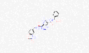 O=C1COc2ccc(CNC(=O)c3ncnc4c(C(=O)N[C@@H](CO)c5ccccc5)c[nH]c34)cc2N1